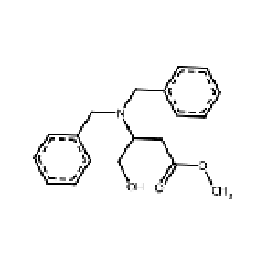 COC(=O)CC(CO)N(Cc1ccccc1)Cc1ccccc1